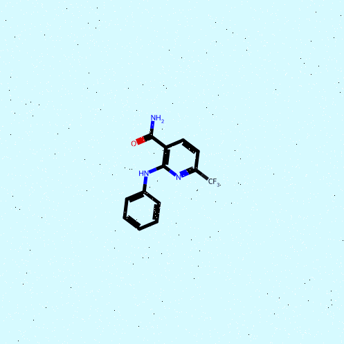 NC(=O)c1ccc(C(F)(F)F)nc1Nc1ccccc1